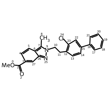 COC(=O)c1ccc2c(C)n(CCc3ccc(-c4ccccc4)cc3Cl)nc2c1